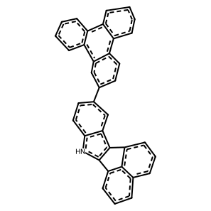 c1cc2c3c(cccc3c1)-c1c-2[nH]c2ccc(-c3ccc4c5ccccc5c5ccccc5c4c3)cc12